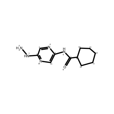 NNc1cnc(NC(=O)C2CCCCC2)cn1